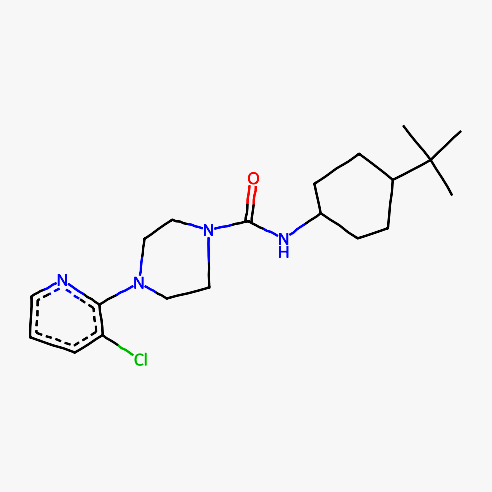 CC(C)(C)C1CCC(NC(=O)N2CCN(c3ncccc3Cl)CC2)CC1